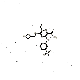 CCc1nc(C(N)=O)c(Nc2cccc(S(C)(=O)=O)c2)nc1NCC1CNC1